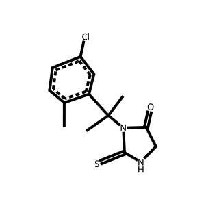 Cc1ccc(Cl)cc1C(C)(C)N1C(=O)CNC1=S